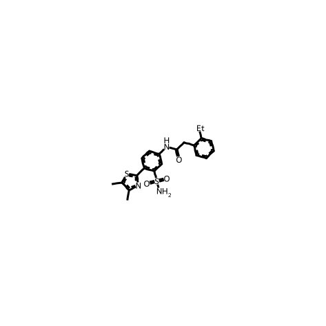 CCc1ccccc1CC(=O)Nc1ccc(-c2nc(C)c(C)s2)c(S(N)(=O)=O)c1